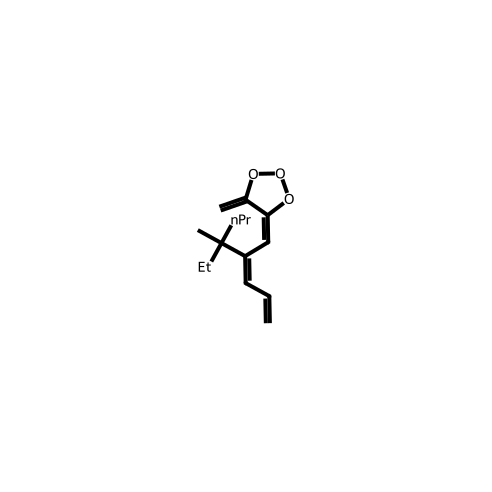 C=C/C=C(\C=C1\OOOC1=C)C(C)(CC)CCC